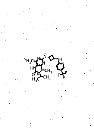 Cc1nc(N[C@H]2C[C@H](Nc3ccc(C(F)(F)F)cn3)C2)nc2c1NC(=O)[C@H](C(C)C)N2C